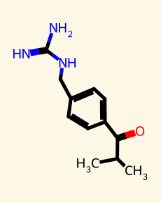 CC(C)C(=O)c1ccc(CNC(=N)N)cc1